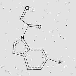 C=CC(=O)n1ccc2ccc(C(C)C)cc21